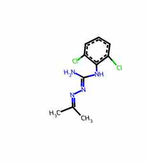 CC(C)=N/N=C(\N)Nc1c(Cl)cccc1Cl